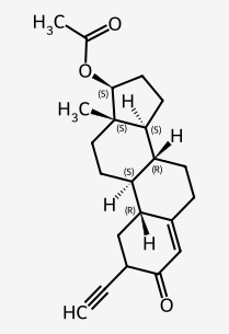 C#CC1C[C@H]2C(=CC1=O)CC[C@@H]1[C@@H]2CC[C@]2(C)[C@@H](OC(C)=O)CC[C@@H]12